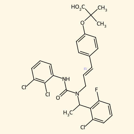 CC(c1c(F)cccc1Cl)N(C/C=C/c1ccc(OC(C)(C)C(=O)O)cc1)C(=O)Nc1cccc(Cl)c1Cl